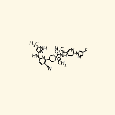 COC1(C(=O)N[C@@H](C)c2ccc(-n3cc(F)cn3)nc2)CCC(c2nc(Nc3cc(C)[nH]n3)ccc2C#N)CC1